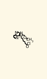 CCOCc1nc2cnc3cccnc3c2n1CCCCCC(=O)Cl